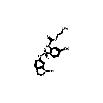 COCCOC(=O)Nc1cc(O)ccc1S(=O)(=O)Nc1ccc2c(c1)B(O)OC2